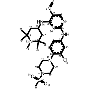 C=Nc1cnc(Nc2ccc(N3CCN(S(C)(=O)=O)CC3)c(Cl)c2)nc1NC1CC(C)(C)N(C)C(C)(C)C1